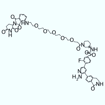 Nc1ncc(-c2ccc(S(=O)(=O)N[C@@H]3CCCN(C(=O)CCOCCOCCOCCOCCOCCNc4cccc5c4C(=O)N(C4CCC(=O)NC4=O)C5=O)C3)cc2F)cc1-c1ccc2c(c1)CCNC2=O